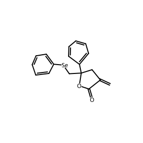 C=C1CC(C[Se]c2ccccc2)(c2ccccc2)OC1=O